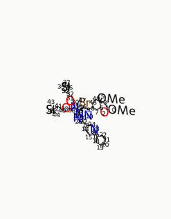 COC(=O)C[C@]1(OC)CC[C@@H](c2nc3c(-c4ccc(-c5ccccc5)nc4)cnn3c(N(COCC[Si](C)(C)C)COCC[Si](C)(C)C)c2Br)CC1